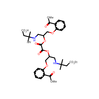 CCCC(C)(CC(=O)O)NCC(COc1ccccc1C(=O)OC)OC(=O)C(=O)OC(CNC(C)(C)CC(=O)OCC)COc1ccccc1C(=O)OC